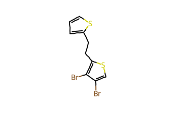 Brc1csc(CCc2cccs2)c1Br